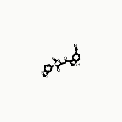 N#Cc1ccc2[nH]cc(C(=O)/C=C3\SC(=S)N(c4ccc5ncsc5c4)C3=O)c2c1